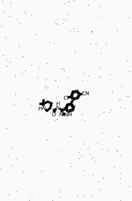 CC1(C)CC[C@H](C(=O)Nc2n[nH]c3ccc(-c4cc(C#N)ccc4Cl)cc23)CN1